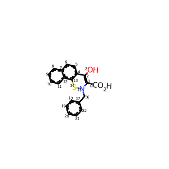 O=C(O)C1=C(O)c2ccc3ccccc3c2SN1Cc1ccccc1